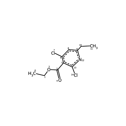 CCOC(=O)c1c(Cl)cc(CC)nc1Cl